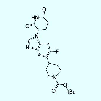 CC(C)(C)OC(=O)N1CCC(c2cc3ncn(C4CCC(=O)NC4=O)c3cc2F)CC1